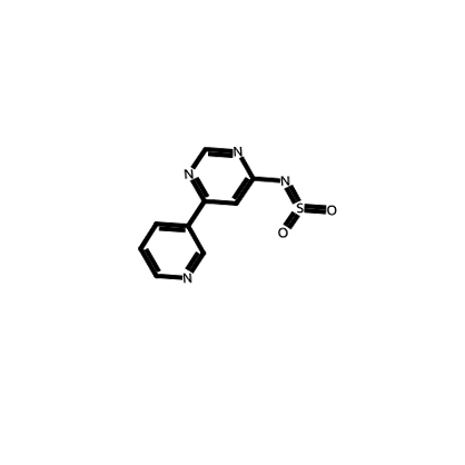 O=S(=O)=Nc1cc(-c2cccnc2)ncn1